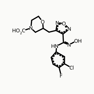 O=C(O)N1CCOC(Cc2nonc2/C(=N\O)Nc2ccc(F)c(Cl)c2)C1